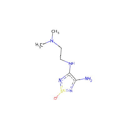 CN(C)CCNc1n[s+]([O-])nc1N